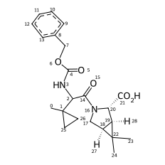 CC1(C(NC(=O)OCc2ccccc2)C(=O)N2C[C@H]3[C@@H]([C@H]2C(=O)O)C3(C)C)CC1